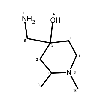 CC1CC(O)(CN)CCN1C